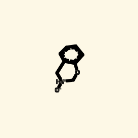 [O-][NH+]1COc2ccccc2C1